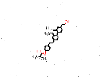 C=C(C)C(O)Oc1ccc(CCc2ccc(-c3ccc(CCO)cc3CC)c(CC)c2)cc1